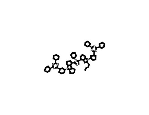 C=C/C=C\c1cc2c(-c3nnc(-c4cccc5c4c4ccccc4n5-c4cccc(-c5nc(-c6ccccc6)nc(-c6ccccc6)n5)c4)n3-c3ccccc3)cccc2n1-c1cccc(-c2nc(-c3ccccc3)nc(-c3ccccc3)n2)c1